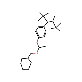 CC(OCC1CCCCC1)Oc1ccc(C(C(C)C(C)(C)C)C(C)(C)C)cc1